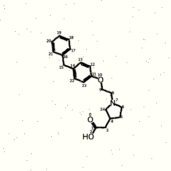 O=C(O)CC1CCN(CCOc2ccc(Cc3ccccc3)cc2)C1